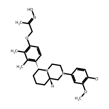 COc1cc(N2CCN3[C@@H](CCC[C@@H]3c3ccc(OC/C(C)=N/O)c(C)c3C)C2)ccc1Cl